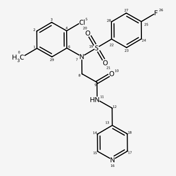 Cc1ccc(Cl)c(N(CC(=O)NCc2ccncc2)S(=O)(=O)c2ccc(F)cc2)c1